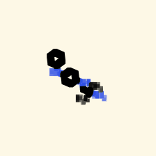 CC(C)(N)CNc1ccc(Nc2ccccc2)cc1